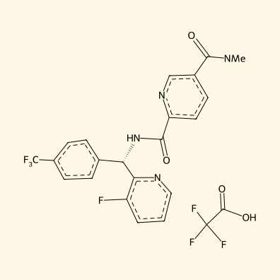 CNC(=O)c1ccc(C(=O)N[C@@H](c2ccc(C(F)(F)F)cc2)c2ncccc2F)nc1.O=C(O)C(F)(F)F